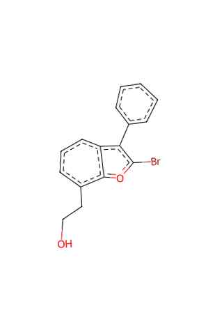 OCCc1cccc2c(-c3ccccc3)c(Br)oc12